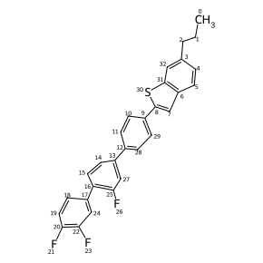 CCCc1ccc2cc(-c3ccc(-c4ccc(-c5ccc(F)c(F)c5)c(F)c4)cc3)sc2c1